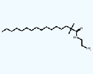 CCCCCCCCCCCCCCC(C)(C)C(=O)NCCN